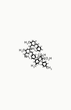 CC1CCN(Cc2ccccc2)CC1CN.CC1CCN(Cc2ccccc2)CC1CN.Cc1ccc(O[C@@H](C(=O)O)[C@@H](Oc2ccc(C)cc2)C(=O)O)cc1